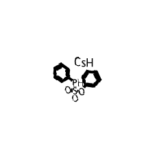 O=S(=O)(Oc1ccccc1)Pc1ccccc1.[CsH]